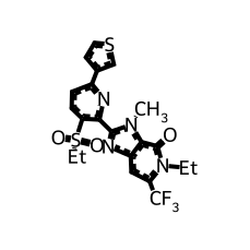 CCn1c(C(F)(F)F)cc2nc(-c3nc(-c4ccsc4)ccc3S(=O)(=O)CC)n(C)c2c1=O